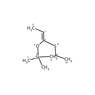 C/C=C(\O[Si](C)(C)C)SCC